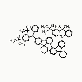 CCC(C)(C)C1=CC2C(C=C1)N(c1ccc3c(c1)-c1c(-c4cccc5c4C4(CCCCC4)c4ccc(N6c7ccccc7C(C)(C)c7cc(C(C)(C)CC)ccc76)cc4-5)cccc1C31CCCCC1)c1ccccc1C2(C)C